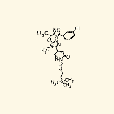 C[C@@H](Oc1nnc(-c2cnn(COCC[Si](C)(C)C)c(=O)c2)n1C)c1noc(-c2cccc(Cl)c2)n1